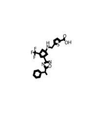 CC(c1ccccc1)c1nc(-c2cc(NCc3ccc(C(=O)O)s3)cc(C(F)(F)F)c2)no1